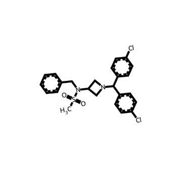 CS(=O)(=O)N(Cc1ccccc1)C1CN(C(c2ccc(Cl)cc2)c2ccc(Cl)cc2)C1